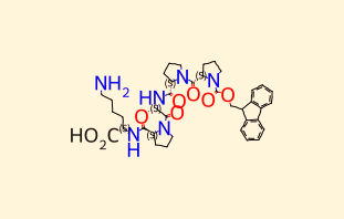 C[C@H](NC(=O)[C@@H]1CCCN1C(=O)[C@@H]1CCCN1C(=O)OCC1c2ccccc2-c2ccccc21)C(=O)N1CCC[C@H]1C(=O)N[C@@H](CCCCN)C(=O)O